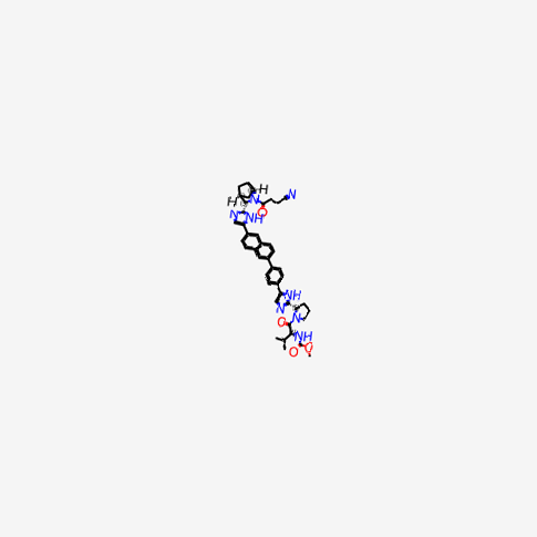 COC(=O)N[C@H](C(=O)N1CCC[C@H]1c1ncc(-c2ccc(-c3ccc4cc(-c5cnc([C@@H]6[C@H]7CC[C@H](C7)N6C(=O)CCC#N)[nH]5)ccc4c3)cc2)[nH]1)C(C)C